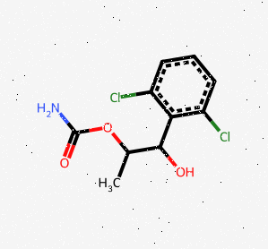 CC(OC(N)=O)C(O)c1c(Cl)cccc1Cl